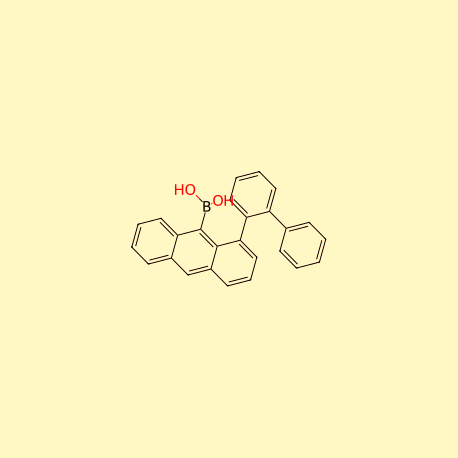 OB(O)c1c2ccccc2cc2cccc(-c3ccccc3-c3ccccc3)c12